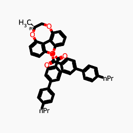 CCCc1ccc(-c2ccc(C(=O)Oc3cccc4c3-c3c(OC(=O)c5ccc(-c6ccc(CCC)cc6)cc5)cccc3O[C@H](C)CO4)cc2)cc1